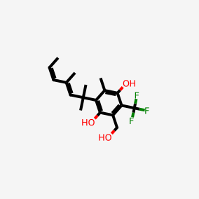 C/C=C\C(C)=C\C(C)(C)c1c(C)c(O)c(C(F)(F)F)c(CO)c1O